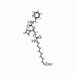 CCCCCCCCCCCCCCCCCCNC(=O)OCC(OC(=O)NCc1ccccn1)C1CCC1